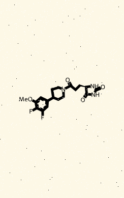 COc1cc(C2CCN(C(=O)CC[C@H]3NC(=O)NC3=O)CC2)cc(F)c1F